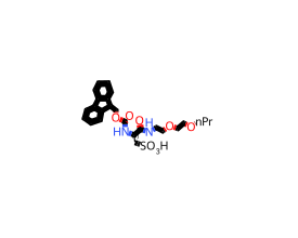 CCCOCCOCCNC(=O)[C@H](CS(=O)(=O)O)NC(=O)OCC1c2ccccc2-c2ccccc21